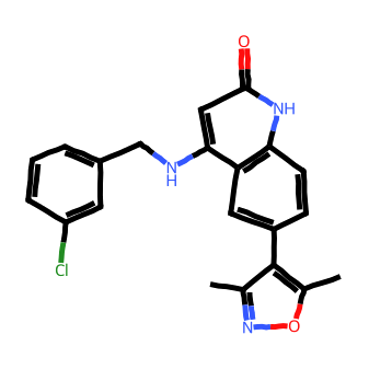 Cc1noc(C)c1-c1ccc2[nH]c(=O)cc(NCc3cccc(Cl)c3)c2c1